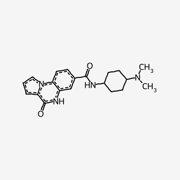 CN(C)C1CCC(NC(=O)c2ccc3c(c2)[nH]c(=O)c2cccn23)CC1